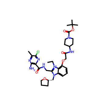 CC[n+]1c(CNC(=O)c2nc(Cl)c(C)nc2N)n(C[C@@H]2CCCO2)c2cccc(OCC(=O)NC3CCN(C(=O)OC(C)(C)C)CC3)c21